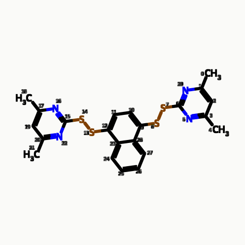 Cc1cc(C)nc(SSc2ccc(SSc3nc(C)cc(C)n3)c3ccccc23)n1